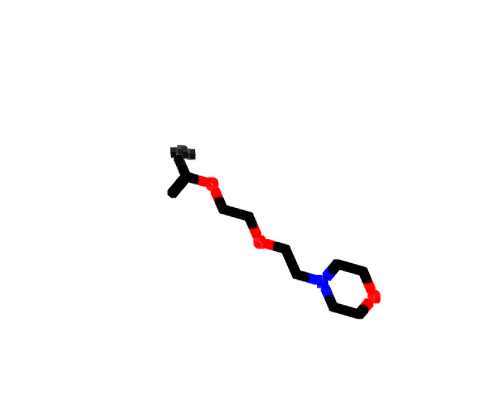 CCCCC(C)OCCOCCN1CCOCC1